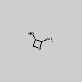 N[C@H]1OC[C@H]1O